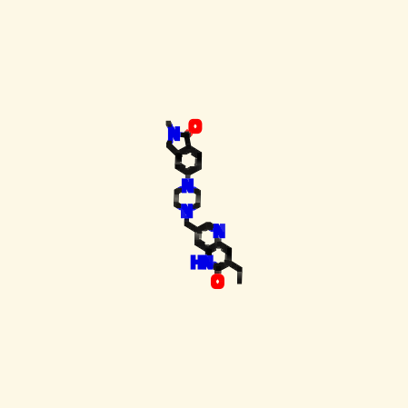 CCc1cc2ncc(CN3CCN(c4ccc5c(c4)CN(C)C5=O)CC3)cc2[nH]c1=O